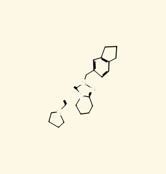 O=C([C@H]1CCCc2nn(Cc3ccc4c(c3)CCC4)c(=O)n21)N1CCCC1